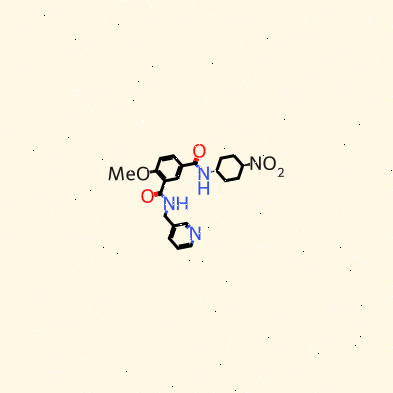 COc1ccc(C(=O)N[C@H]2CC[C@H]([N+](=O)[O-])CC2)cc1C(=O)NCc1cccnc1